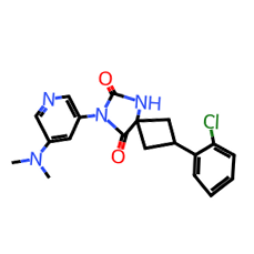 CN(C)c1cncc(N2C(=O)NC3(CC(c4ccccc4Cl)C3)C2=O)c1